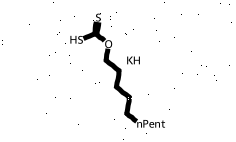 CCCCCCCCCCOC(=S)S.[KH]